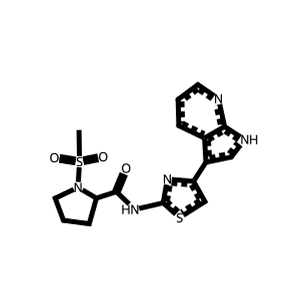 CS(=O)(=O)N1CCCC1C(=O)Nc1nc(-c2c[nH]c3ncccc23)cs1